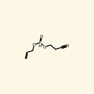 C=CCO[PH](=O)OCCC#N